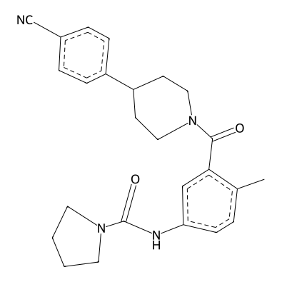 Cc1ccc(NC(=O)N2CCCC2)cc1C(=O)N1CCC(c2ccc(C#N)cc2)CC1